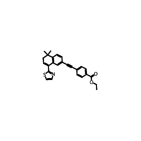 CCOC(=O)c1ccc(C#Cc2ccc3c(c2)C(c2nccs2)=CCC3(C)C)cc1